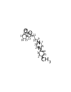 Cc1ccc(N2CCN(CCCC3CC4(CCCC4)C(=O)O3)CC2)cc1